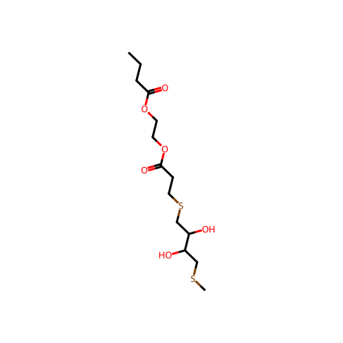 CCCC(=O)OCCOC(=O)CCSCC(O)C(O)CSC